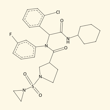 O=C(NC1CCCCC1)C(c1ccccc1Cl)N(C(=O)C1CCN(S(=O)(=O)N2CC2)C1)c1cccc(F)c1